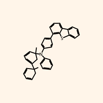 CC1(C2=CC=CC(C)(N(c3ccccc3)c3ccc(-c4cccc5c4sc4ccccc45)cc3)C2)C=CC=CC1